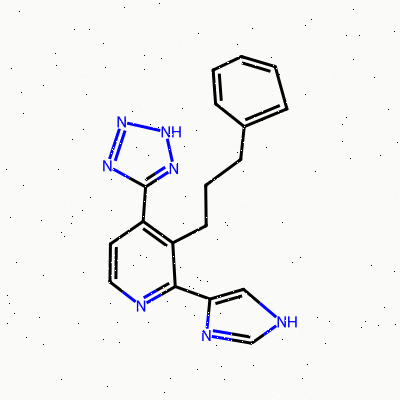 c1ccc(CCCc2c(-c3nn[nH]n3)ccnc2-c2c[nH]cn2)cc1